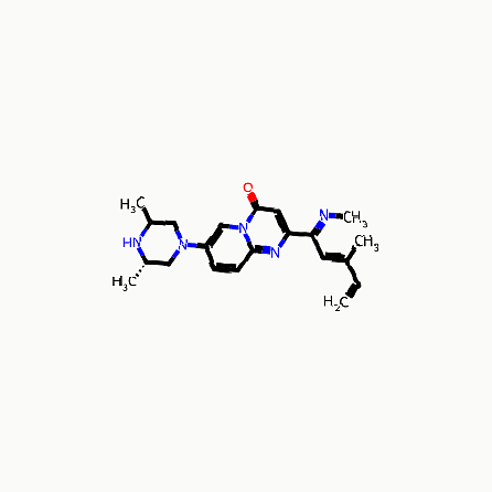 C=C/C(C)=C/C(=N\C)c1cc(=O)n2cc(N3CC(C)N[C@@H](C)C3)ccc2n1